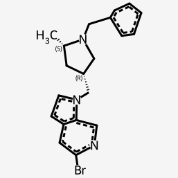 C[C@H]1C[C@@H](Cn2ccc3cc(Br)ncc32)CN1Cc1ccccc1